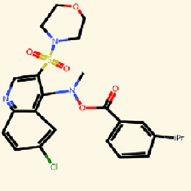 CC(C)c1cccc(C(=O)ON(C)c2c(S(=O)(=O)N3CCOCC3)cnc3ccc(Cl)cc23)c1